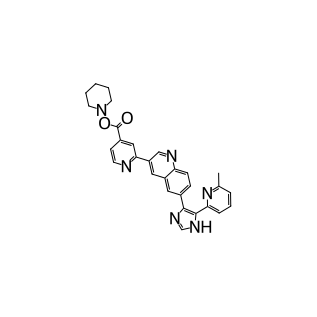 Cc1cccc(-c2[nH]cnc2-c2ccc3ncc(-c4cc(C(=O)ON5CCCCC5)ccn4)cc3c2)n1